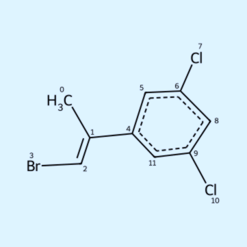 CC(=CBr)c1cc(Cl)cc(Cl)c1